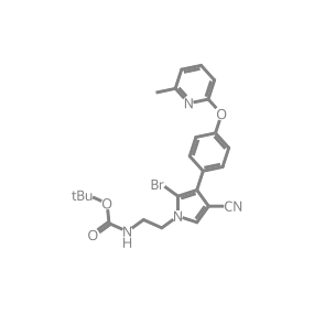 Cc1cccc(Oc2ccc(-c3c(C#N)cn(CCNC(=O)OC(C)(C)C)c3Br)cc2)n1